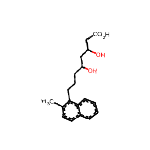 Cc1ccc2ccccc2c1CCCC(O)CC(O)CC(=O)O